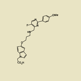 COc1ccc(-c2ncc(F)c(CNCCCOc3ccc4c(ccn4CC(=O)O)c3)n2)cc1